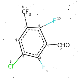 O=Cc1c(F)c(Cl)cc(C(F)(F)F)c1F